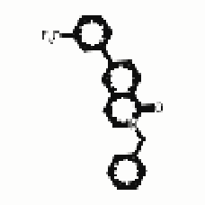 O=c1c2ccc(-c3cccc(C(F)(F)F)c3)cc2ccn1Cc1ccccc1